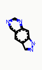 C1=N[N]c2cc3ncncc3cc21